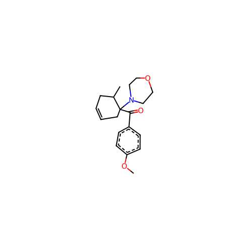 COc1ccc(C(=O)C2(N3CCOCC3)CC=CCC2C)cc1